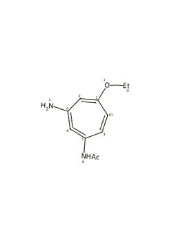 CCOC1=CC(N)=C=C(NC(C)=O)C=C1